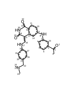 CC(=O)c1cccc(Nc2ccc3c(c2)/C(=C/Nc2ccc(CN(C)C)cc2)C(=O)NC3=O)c1